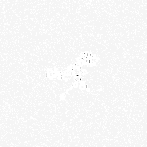 COc1cc2c(cc1OCCCCCBr)N(COCC[Si](C)(C)C)C(=O)[C@@H]1C[C@@H](O[Si](C)(C)C(C)(C)C)CN1C2=O